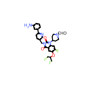 Nc1cccc(-c2ccc(Cn3c(=O)c4cc(OC(CF)CF)c(F)cc4n(C4CCN(C=O)CC4)c3=O)cn2)c1